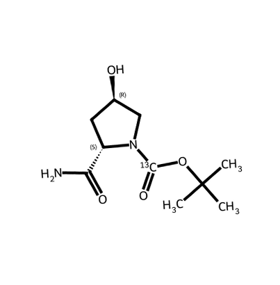 CC(C)(C)O[13C](=O)N1C[C@H](O)C[C@H]1C(N)=O